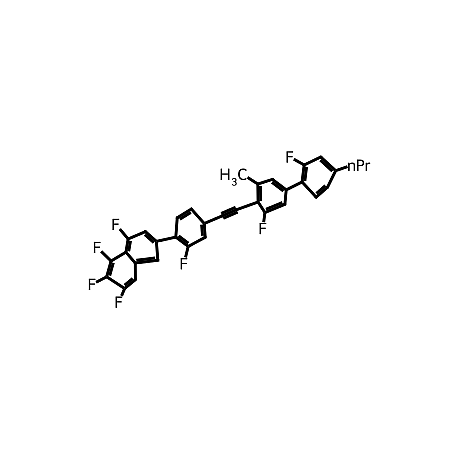 CCCc1ccc(-c2cc(C)c(C#Cc3ccc(-c4cc(F)c5c(F)c(F)c(F)cc5c4)c(F)c3)c(F)c2)c(F)c1